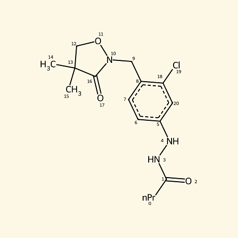 CCCC(=O)NNc1ccc(CN2OCC(C)(C)C2=O)c(Cl)c1